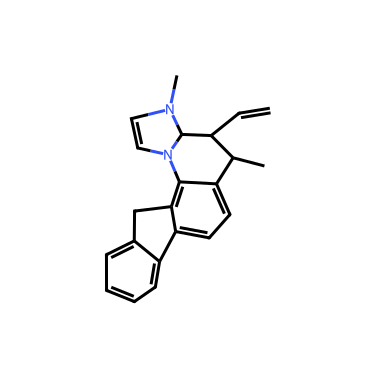 C=CC1C(C)c2ccc3c(c2N2C=CN(C)C12)Cc1ccccc1-3